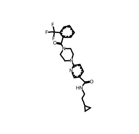 O=C(NCCC1CC1)c1ccc(N2CCN(C(=O)c3ccccc3C(F)(F)F)CC2)nc1